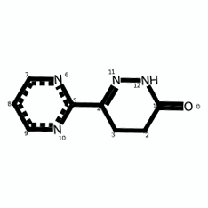 O=C1CCC(c2ncccn2)=NN1